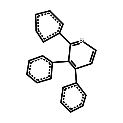 [CH]1=CC(c2ccccc2)=C(c2ccccc2)[C](c2ccccc2)=[Bi]1